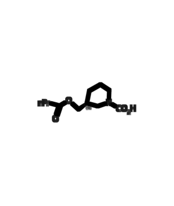 CCCC(=O)OC[C@H]1CCCN(C(=O)O)C1